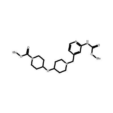 CC(C)(C)OC(=O)Nc1cc(CN2CCC(OC3CCN(C(=O)OC(C)(C)C)CC3)CC2)ccn1